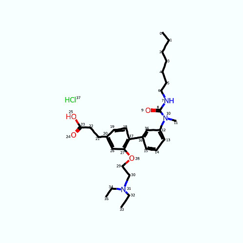 CCCCCCCNC(=O)N(C)c1cccc(-c2ccc(CCC(=O)O)cc2OCCN(CC)CC)c1.Cl